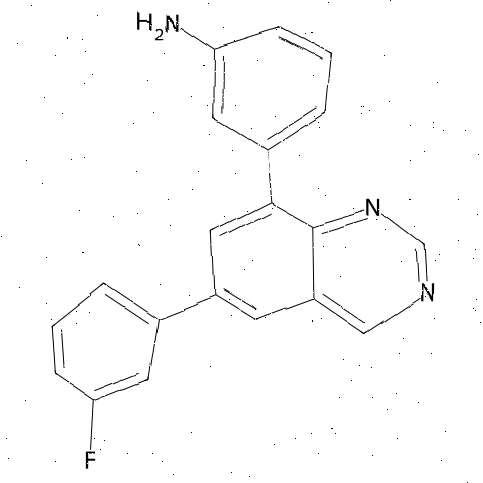 Nc1cccc(-c2cc(-c3cccc(F)c3)cc3cncnc23)c1